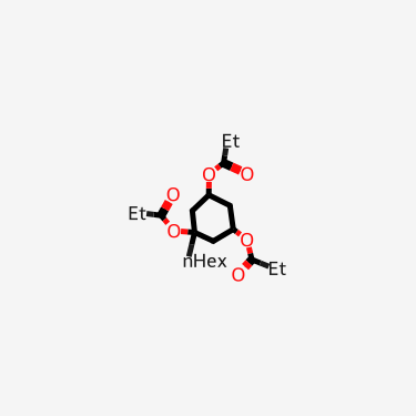 CCCCCCC1(OC(=O)CC)CC(OC(=O)CC)CC(OC(=O)CC)C1